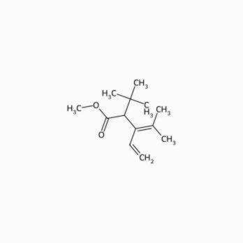 C=CC(=C(C)C)C(C(=O)OC)C(C)(C)C